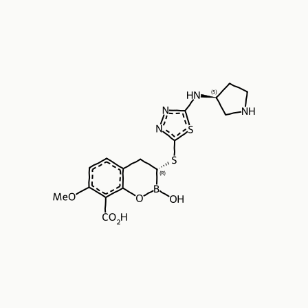 COc1ccc2c(c1C(=O)O)OB(O)[C@@H](Sc1nnc(N[C@H]3CCNC3)s1)C2